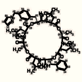 CC(C)CC1C(=O)O[C@H](Cc2ccccc2)C(O)N(C)C(CC(C)C)C(=O)O[C@H](C)C(=O)N(C)[C@@H](CC(C)C)C(=O)O[C@H](Cc2ccc(Cn3cccn3)cc2)C(=O)N(C)[C@@H](CC(C)C)C(=O)O[C@H](C)C(=O)N1C